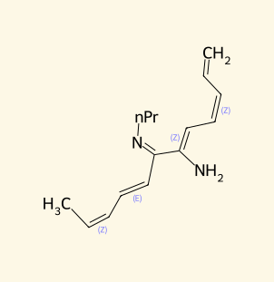 C=C/C=C\C=C(/N)C(/C=C/C=C\C)=NCCC